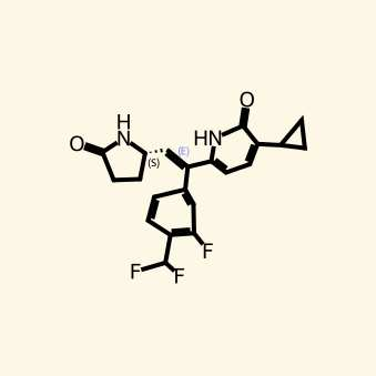 O=C1CC[C@@H](/C=C(\c2ccc(C(F)F)c(F)c2)c2ccc(C3CC3)c(=O)[nH]2)N1